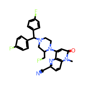 Cn1c(=O)cc(N2CCN(C(c3ccc(F)cc3)c3ccc(F)cc3)CC2CF)c2nc(C#N)ccc21